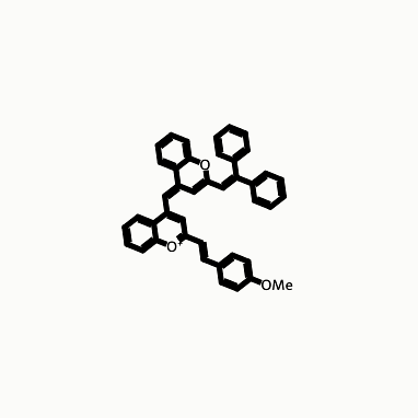 COc1ccc(C=Cc2cc(C=C3C=C(C=C(c4ccccc4)c4ccccc4)Oc4ccccc43)c3ccccc3[o+]2)cc1